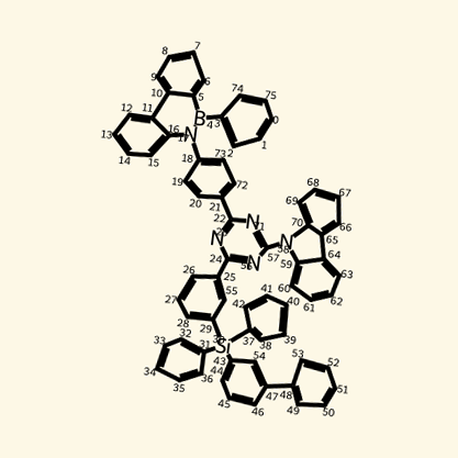 c1ccc(B2c3ccccc3-c3ccccc3N2c2ccc(-c3nc(-c4cccc([Si](c5ccccc5)(c5ccccc5)c5cccc(-c6ccccc6)c5)c4)nc(-n4c5ccccc5c5ccccc54)n3)cc2)cc1